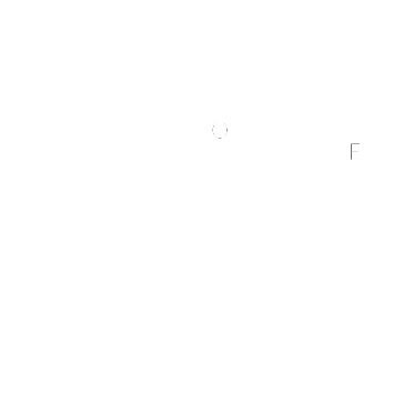 Fc1cccc2c1oc1[c]cccc12